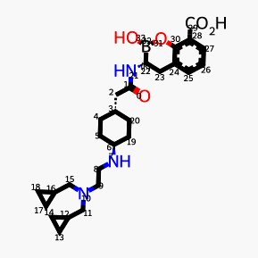 O=C(C[C@H]1CC[C@H](NCCN(CC2CC2)CC2CC2)CC1)N[C@H]1Cc2cccc(C(=O)O)c2OB1O